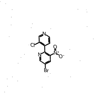 O=[N+]([O-])c1cc(Br)cnc1-c1ccncc1Cl